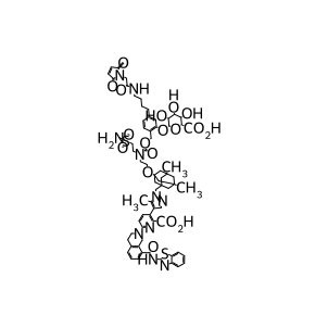 Cc1c(-c2ccc(N3CCc4cccc(C(=O)Nc5nc6ccccc6s5)c4C3)nc2C(=O)O)cnn1CC12CC3(C)CC(C)(C1)CC(OCCN(CCS(N)(=O)=O)C(=O)OCc1ccc(CCCCNC(=O)CN4C(=O)C=CC4=O)cc1O[C@@H]1O[C@H](C(=O)O)[C@@H](O)[C@H](O)[C@H]1O)(C3)C2